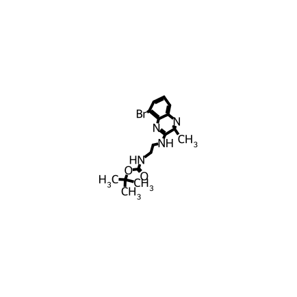 Cc1nc2cccc(Br)c2nc1NCCNC(=O)OC(C)(C)C